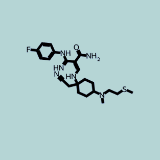 CSCCN(C)C1CCC(CC#N)(N/C=C(\C(=N)Nc2ccc(F)cc2)C(N)=O)CC1